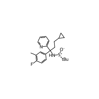 Cc1cc(C(CCC2CC2)(N[S@@+]([O-])C(C)(C)C)c2ccccn2)ccc1F